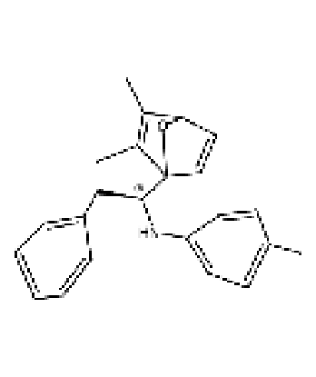 CC1=C(C)C2([C@H](Cc3ccccc3)Nc3ccc(C)cc3)C=CC1O2